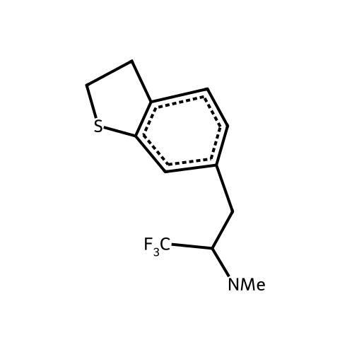 CNC(Cc1ccc2c(c1)SCC2)C(F)(F)F